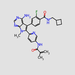 C=C(C)C(=O)Nc1ccc(-c2c(-c3ccc(C(=O)NCC4CCC4)c(F)c3)c3c(N)ncnc3n2C)nc1